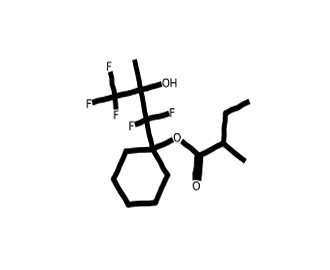 CCC(C)C(=O)OC1(C(F)(F)C(C)(O)C(F)(F)F)CCCCC1